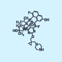 CC(C)[Si](C#Cc1c(F)ccc2cc(O)cc(-c3ncc4c(N5CCC[C@@](C)(O)C5)nc(OCC5(CN6CCNCC6)CC5)nc4c3F)c12)(C(C)C)C(C)C